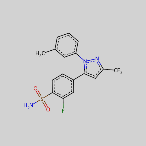 Cc1cccc(-n2nc(C(F)(F)F)cc2-c2ccc(S(N)(=O)=O)c(F)c2)c1